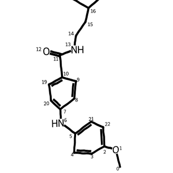 COc1ccc(Nc2ccc(C(=O)NCCC(C)C)cc2)cc1